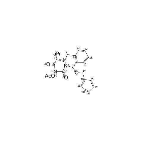 CC(=O)On1c(=O)c(C(C)C)c(Cc2ccccc2)n(COCc2ccccc2)c1=O